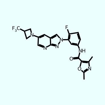 Cc1nc(C)c(C(=O)Nc2ccc(F)c(-n3cc4cc(N5CC(C(F)(F)F)C5)cnc4n3)c2)o1